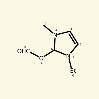 CCN1C=CN(C)C1OC=O